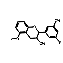 Oc1cc(F)cc(C2Oc3cccc(OI)c3CC2O)c1